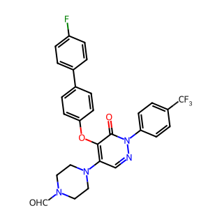 O=CN1CCN(c2cnn(-c3ccc(C(F)(F)F)cc3)c(=O)c2Oc2ccc(-c3ccc(F)cc3)cc2)CC1